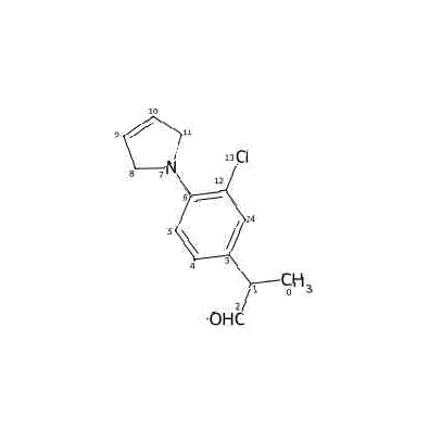 CC([C]=O)c1ccc(N2CC=CC2)c(Cl)c1